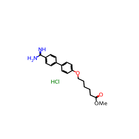 COC(=O)CCCCCOc1ccc(-c2ccc(C(=N)N)cc2)cc1.Cl